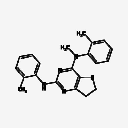 Cc1ccccc1Nc1nc2c(c(N(C)c3ccccc3C)n1)SCC2